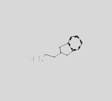 NCCC1Cc2ccccc2C1